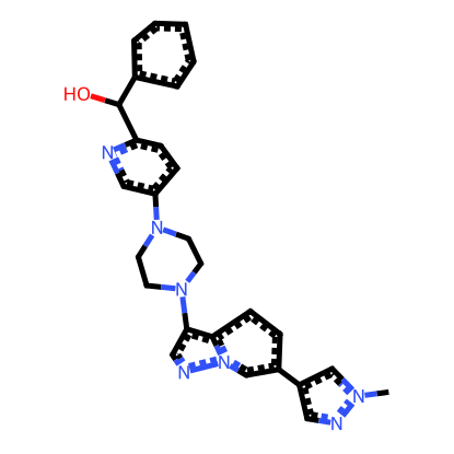 Cn1cc(-c2ccc3c(N4CCN(c5ccc(C(O)c6ccccc6)nc5)CC4)cnn3c2)cn1